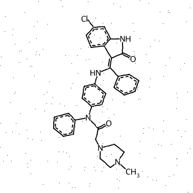 CN1CCN(CC(=O)N(c2ccccc2)c2ccc(NC(=C3C(=O)Nc4cc(Cl)ccc43)c3ccccc3)cc2)CC1